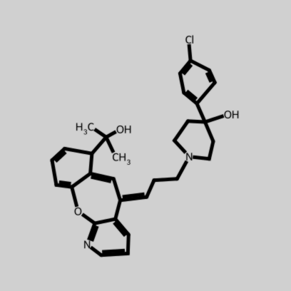 CC(C)(O)C1C=CC=C2Oc3ncccc3C(=CCCN3CCC(O)(c4ccc(Cl)cc4)CC3)C=C21